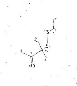 CCSSC(C)(C)C(C)=O